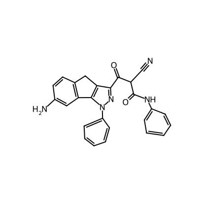 N#CC(C(=O)Nc1ccccc1)C(=O)c1nn(-c2ccccc2)c2c1Cc1ccc(N)cc1-2